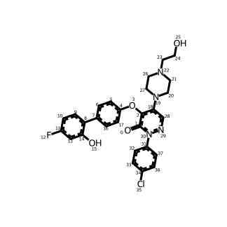 O=c1c(Oc2ccc(-c3ccc(F)cc3O)cc2)c(N2CCN(CCO)CC2)cnn1-c1ccc(Cl)cc1